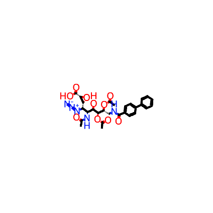 CC(=O)N[C@H](C(N=[N+]=[N-])[C@H]1O[C@H]1C(=O)O)C(O)[C@H](OC(C)=O)[C@@H](CNC(=O)c1ccc(-c2ccccc2)cc1)OC(C)=O